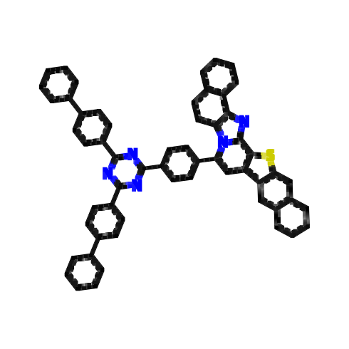 c1ccc(-c2ccc(-c3nc(-c4ccc(-c5ccccc5)cc4)nc(-c4ccc(-c5cc6c7cc8ccccc8cc7sc6c6nc7c8ccccc8ccc7n56)cc4)n3)cc2)cc1